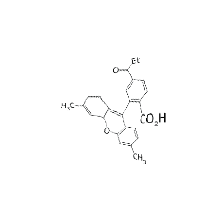 CCC(=O)c1ccc(C(=O)O)c(C2=C3C=CC(C)=CC3Oc3cc(C)ccc32)c1